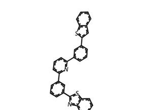 c1cc(-c2cccc(-c3cccc(-c4nc5ccccc5s4)c3)n2)cc(-c2cc3ccccc3s2)c1